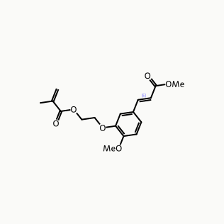 C=C(C)C(=O)OCCOc1cc(/C=C/C(=O)OC)ccc1OC